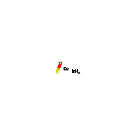 O=S.[Cu].[InH3]